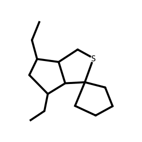 CCC1CC(CC)C2C1CSC21CCCC1